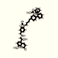 O=C(O)N(c1cc(CCCCn2c(=O)oc3cc(CNC[C@H](O)c4ccc(O)c5[nH]c(=O)ccc45)ccc32)ccc1-c1ccccc1)[C@H]1CN2CCC1CC2